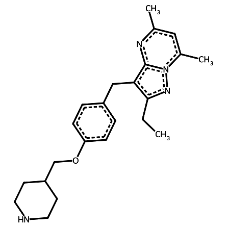 CCc1nn2c(C)cc(C)nc2c1Cc1ccc(OCC2CCNCC2)cc1